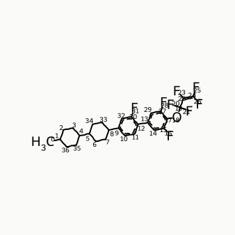 CC1CCC(C2CCC(c3ccc(-c4cc(F)c(OC(F)(F)C(F)=C(F)F)c(F)c4)c(F)c3)CC2)CC1